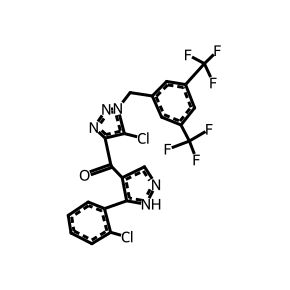 O=C(c1cn[nH]c1-c1ccccc1Cl)c1nnn(Cc2cc(C(F)(F)F)cc(C(F)(F)F)c2)c1Cl